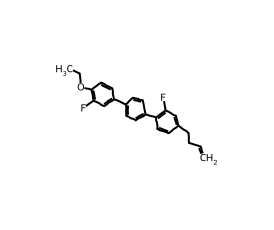 C=CCCc1ccc(-c2ccc(-c3ccc(OCC)c(F)c3)cc2)c(F)c1